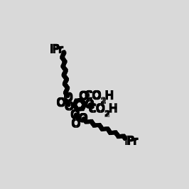 CC(C)CCCCCCCCCCOC(=O)OC1CC(OC(=O)O)C(OC(=O)O)CC1OC(=O)OCCCCCCCCCCC(C)C